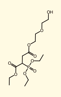 CCOC(=O)C(CC(=O)OCCOCCO)P(=O)(OCC)OCC